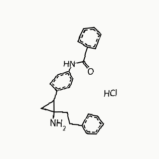 Cl.NC1(CCc2ccccc2)CC1c1ccc(NC(=O)c2ccccc2)cc1